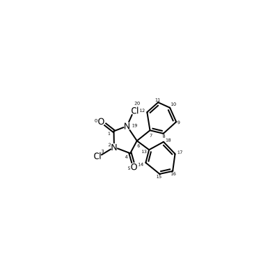 O=C1N(Cl)C(=O)C(c2ccccc2)(c2ccccc2)N1Cl